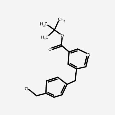 CC(C)(C)OC(=O)c1cncc(Cc2ccc(CCl)cc2)c1